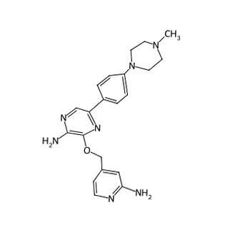 CN1CCN(c2ccc(-c3cnc(N)c(OCc4ccnc(N)c4)n3)cc2)CC1